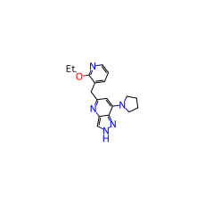 CCOc1ncccc1Cc1cc(N2CCCC2)c2n[nH]cc2n1